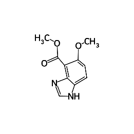 COC(=O)c1c(OC)ccc2[nH]cnc12